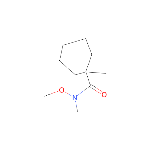 CON(C)C(=O)C1(C)CCCCC1